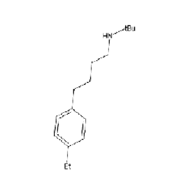 CCC1=C=C=C(CCCCNC(C)(C)C)C=C1